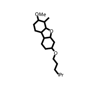 COC1CCC2C3CCC(OCCCC(C)C)CC3OC2C1C